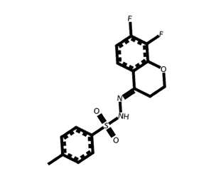 Cc1ccc(S(=O)(=O)NN=C2CCOc3c2ccc(F)c3F)cc1